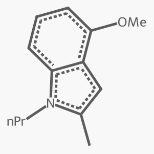 CCCn1c(C)cc2c(OC)cccc21